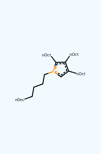 CCCCCCCCCCCCCCp1cc(CCCCCCCC)c(CCCCCCCC)c1CCCCCCCC